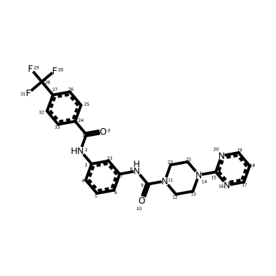 O=C(Nc1cccc(NC(=O)N2CCN(c3ncccn3)CC2)c1)c1ccc(C(F)(F)F)cc1